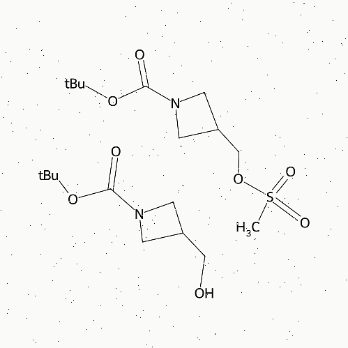 CC(C)(C)OC(=O)N1CC(CO)C1.CC(C)(C)OC(=O)N1CC(COS(C)(=O)=O)C1